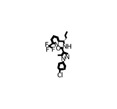 CCC[C@H](NC(=O)c1cnn(-c2ccc(Cl)cc2)c1C)c1cccc(C(F)(F)F)n1